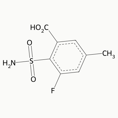 Cc1cc(F)c(S(N)(=O)=O)c(C(=O)O)c1